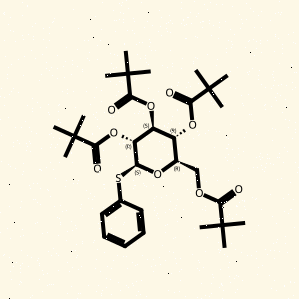 CC(C)(C)C(=O)OC[C@H]1O[C@@H](Sc2ccccc2)[C@H](OC(=O)C(C)(C)C)[C@@H](OC(=O)C(C)(C)C)[C@@H]1OC(=O)C(C)(C)C